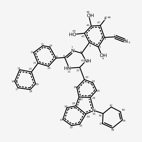 N#Cc1c(O)c(C2N=C(c3cccc(-c4ccccc4)c3)NC(c3ccc4c(c3)c3ccccc3n4C3C=CC=CC3)N2)c(O)c(O)c1F